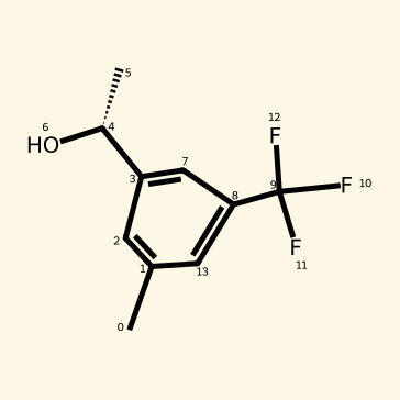 Cc1cc([C@@H](C)O)cc(C(F)(F)F)c1